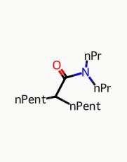 CCCCCC(CCCCC)C(=O)N(CCC)CCC